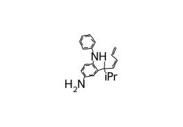 C=C/C=C\C(C)(c1cc(N)ccc1Nc1ccccc1)C(C)C